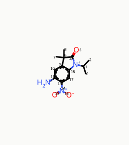 CC(C)N1C(=O)C(C)(C)c2cc(N)c([N+](=O)[O-])cc21